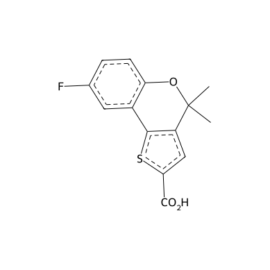 CC1(C)Oc2ccc(F)cc2-c2sc(C(=O)O)cc21